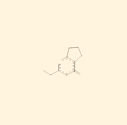 CCc1cc(=O)c2c(o1)CCC2